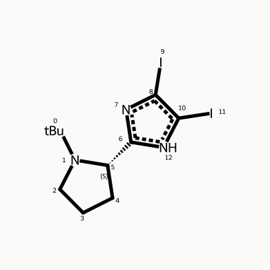 CC(C)(C)N1CCC[C@H]1c1nc(I)c(I)[nH]1